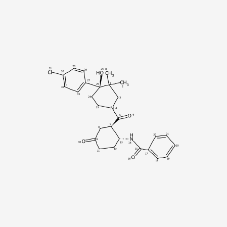 CC1(C)CN(C(=O)[C@@H]2CC(=O)CC[C@H]2NC(=O)c2ccccc2)CC[C@]1(O)c1ccc(Cl)cc1